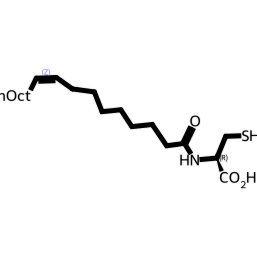 CCCCCCCC/C=C\CCCCCCCC(=O)N[C@@H](CS)C(=O)O